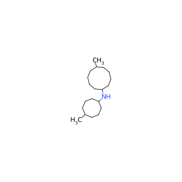 CC1CCCCC(NC2CCCC(C)CCC2)CCCC1